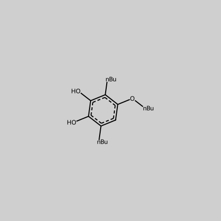 CCCCOc1cc(CCCC)c(O)c(O)c1CCCC